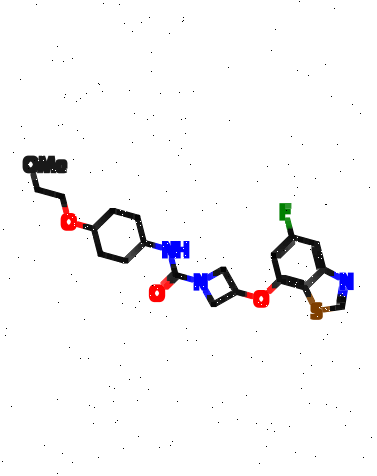 COCCOC1CCC(NC(=O)N2CC(Oc3cc(F)cc4ncsc34)C2)CC1